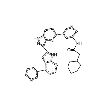 O=C(CC1CCCCC1)Nc1cncc(-c2ccc3[nH]nc(-c4cc5c(-c6cccnc6)ccnc5[nH]4)c3n2)c1